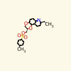 CCc1ccc2c3c(ccc2n1)OC[C@H](COS(=O)(=O)c1ccc(C)cc1)O3